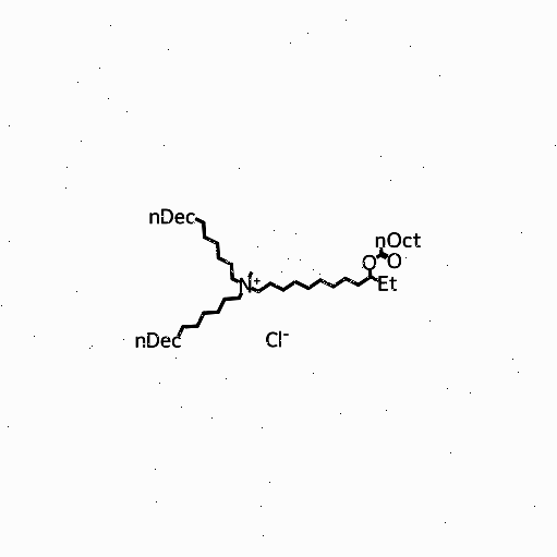 CCCCCCCCCCCCCCCC[N+](C)(CCCCCCCCCCCCCCCC)CCCCCCCCCC(CC)OC(=O)CCCCCCCC.[Cl-]